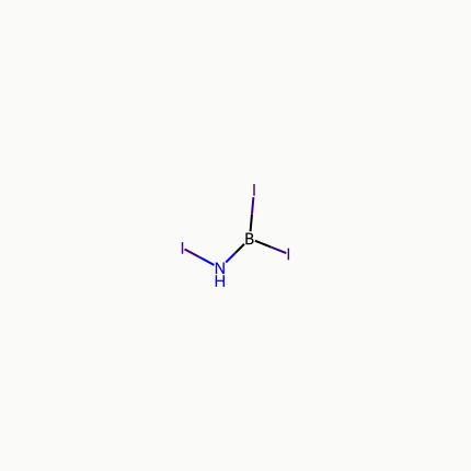 INB(I)I